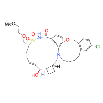 COCCOC[C@H]1CC/C=C/[C@H](O)[C@@H]2CC[C@H]2CN2CCCCc3cc(Cl)ccc3COc3ccc(cc32)C(=O)NS1(=O)=O